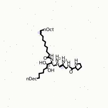 CCCCCCCC/C=C\CCCCCCCC(=O)N[C@@H](CN(N)/C=C(\N)CNC(=O)C1CCCN1)[C@H](O)[C@H](O)CCCCCCCCCCCCCC